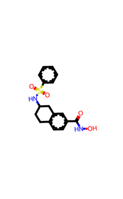 O=C(NO)c1ccc2c(c1)CC(NS(=O)(=O)c1ccccc1)CC2